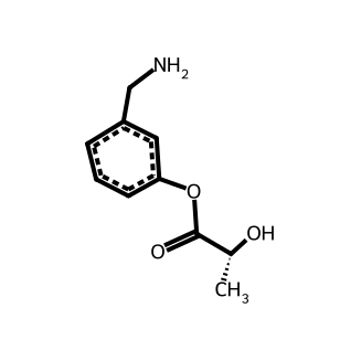 C[C@@H](O)C(=O)Oc1cccc(CN)c1